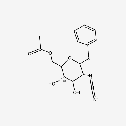 CC(=O)OCC1OC(Sc2ccccc2)C(N=[N+]=[N-])C(O)[C@@H]1O